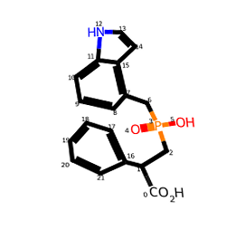 O=C(O)C(CP(=O)(O)Cc1cccc2[nH]ccc12)c1ccccc1